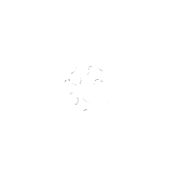 CN(C)CCc1cccc(Cn2cc(-c3ccncc3)ccc2=O)c1